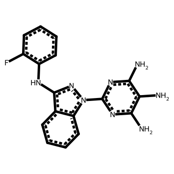 Nc1nc(-n2nc(Nc3ccccc3F)c3ccccc32)nc(N)c1N